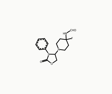 O=CNC1(F)CCN(C2COC(=O)N2c2ccccc2)CC1